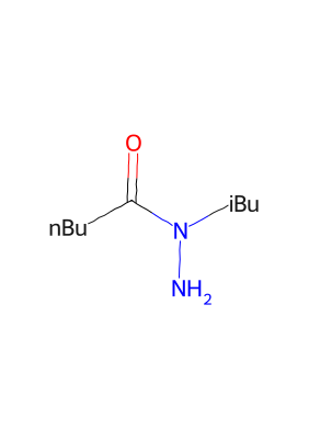 CCCCC(=O)N(N)C(C)CC